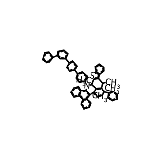 CC1C2=C3C(C)(C=CC2(C)c2ccccc2)c2c(c4ccccc4c4ccccc24)N(c2ccc(-c4ccc(-c5cccc(-c6ccccc6)c5)cc4)cc2)C3(C)c2sc3ccccc3c21